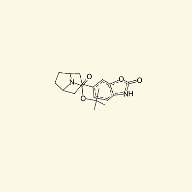 CC(C)(C)OC(=O)N1C2CCC1CC(c1ccc3[nH]c(=O)oc3c1)C2